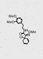 CON=C(C(=O)NCCc1ccc(OC)c(OC)c1)C1(Cl)C=CC=CC1